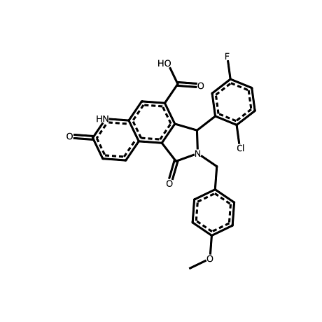 COc1ccc(CN2C(=O)c3c(c(C(=O)O)cc4[nH]c(=O)ccc34)C2c2cc(F)ccc2Cl)cc1